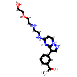 CC(=O)c1cccc(-c2cnn3ccc(NCCNCCOCCO)nc23)c1